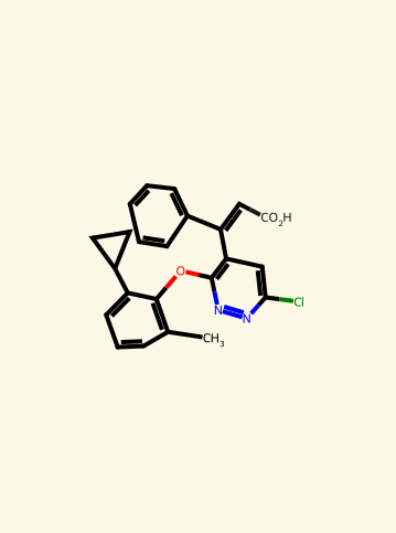 Cc1cccc(C2CC2)c1Oc1nnc(Cl)cc1/C(=C\C(=O)O)c1ccccc1